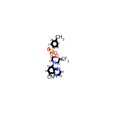 Cc1ccc(S(=O)(=O)O[C@@H]2CN(c3ccc(C#N)c4nccnc34)C[C@H](C(F)(F)F)O2)cc1